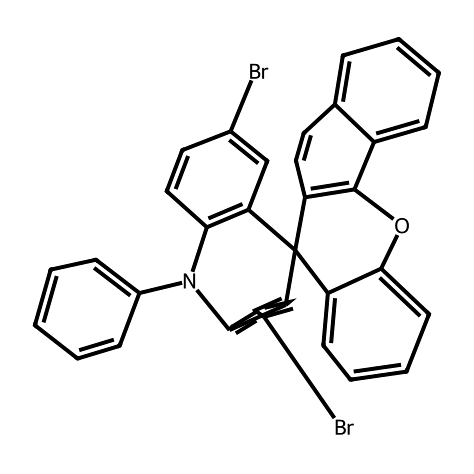 Brc1ccc2c(c1)C1(c3ccccc3Oc3c1ccc1ccccc31)c1cc(Br)ccc1N2c1ccccc1